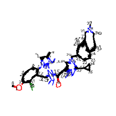 COc1ccc(-n2cc(C)nn2)c(CNC(=O)c2cn(Cc3ccc4c(c3)CN(C)CC4)c(C3CC3)n2)c1F